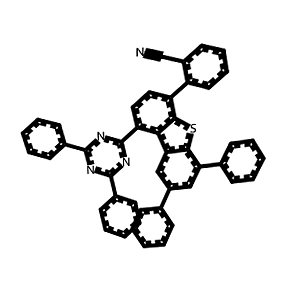 N#Cc1ccccc1-c1ccc(-c2nc(-c3ccccc3)nc(-c3ccccc3)n2)c2c1sc1c(-c3ccccc3)cc(-c3ccccc3)cc12